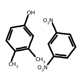 Cc1ccc(O)cc1C.O=[N+]([O-])c1cccc([N+](=O)[O-])c1